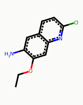 CCOc1cc2nc(Cl)ccc2cc1N